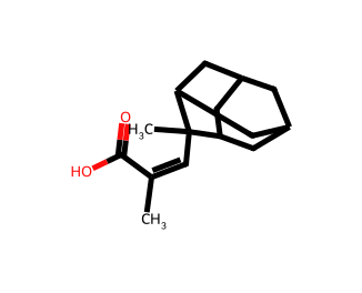 CC(=CC1(C)C2CC3CC(C2)CC1C3)C(=O)O